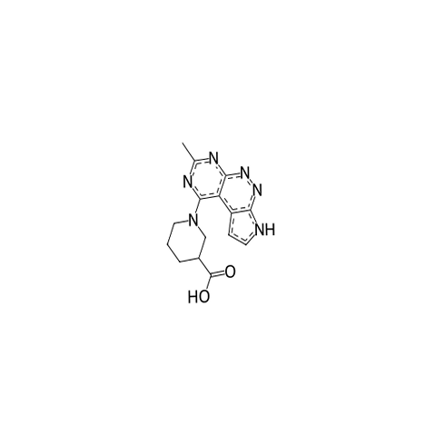 Cc1nc(N2CCCC(C(=O)O)C2)c2c(nnc3[nH]ccc32)n1